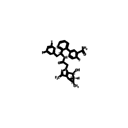 C[C@H]1C2c3c(C(F)(F)F)nn(CC(=O)N[C@@H](Cc4cc(F)cc(F)c4)c4ncccc4-c4ccc(F)c(C(N)=O)c4)c3[C@@H](O)[C@H]21